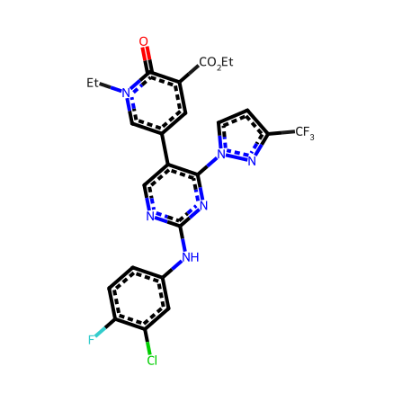 CCOC(=O)c1cc(-c2cnc(Nc3ccc(F)c(Cl)c3)nc2-n2ccc(C(F)(F)F)n2)cn(CC)c1=O